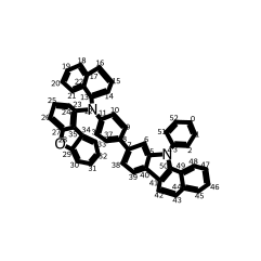 c1ccc(-n2c3cc(-c4ccc(N(c5cccc6ccccc56)c5cccc6oc7ccccc7c56)cc4)ccc3c3ccc4ccccc4c32)cc1